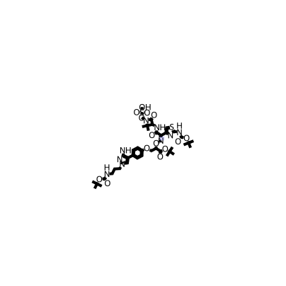 CC(C)(C)OC(=O)NCCCn1cc(-c2ccc(OCC(O/N=C(\C(=O)NC3C(=O)N(OS(=O)(=O)O)C3(C)C)c3csc(NC(=O)OC(C)(C)C)n3)C(=O)OC(C)(C)C)cc2)c(N)n1